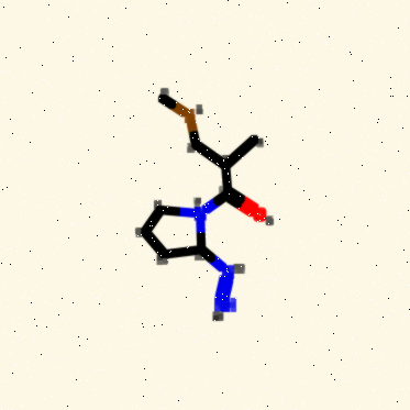 CSCC(C)C(=O)N1CCCC1N=N